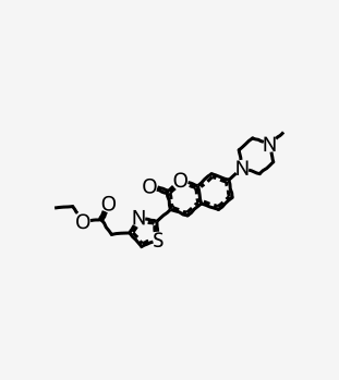 CCOC(=O)Cc1csc(-c2cc3ccc(N4CCN(C)CC4)cc3oc2=O)n1